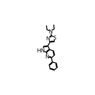 CCN(CC)c1nc(-c2c[nH]c3nc(-c4ccccc4)ccc23)cs1